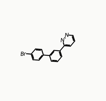 Brc1ccc(-c2cccc(-c3cccnn3)c2)cc1